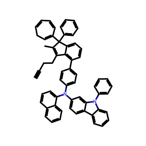 C#CCCC1=C(C)C(C2=CCC=CC=C2)(c2ccccc2)c2cccc(-c3ccc(N(c4ccc5c6ccccc6n(-c6ccccc6)c5c4)c4cccc5ccccc45)cc3)c21